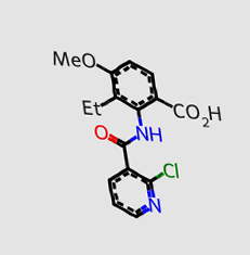 CCc1c(OC)ccc(C(=O)O)c1NC(=O)c1cccnc1Cl